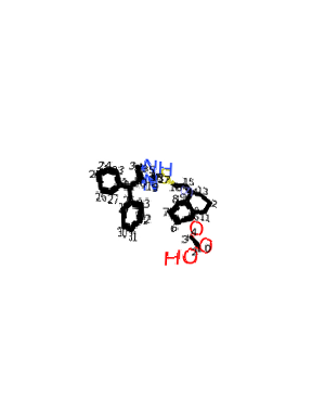 O=C(O)COc1cccc2c1CCC/C2=C/CSc1nc(C(c2ccccc2)c2ccccc2)c[nH]1